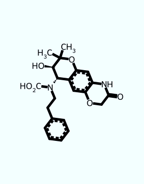 CC1(C)Oc2cc3c(cc2[C@H](N(CCc2ccccc2)C(=O)O)[C@H]1O)OCC(=O)N3